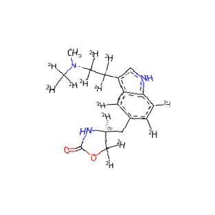 [2H]c1c(C[C@]2([2H])NC(=O)OC2([2H])[2H])c([2H])c2c(C([2H])([2H])C([2H])([2H])N(C)C([2H])([2H])[2H])c[nH]c2c1[2H]